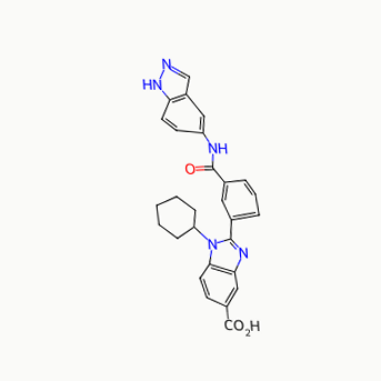 O=C(O)c1ccc2c(c1)nc(-c1cccc(C(=O)Nc3ccc4[nH]ncc4c3)c1)n2C1CCCCC1